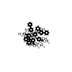 CC(C)(C)c1ccc(N2c3cc(N4c5ccc(-c6ccccc6)cc5C5(C)CCCCC45C)cc4c3B3c5c(cc(C(C)(C)C)cc5C(c5ccccc5)(c5ccccc5)c5cc(C(C)(C)C)cc2c53)N4c2ccc(-c3ccccc3)cc2)cc1